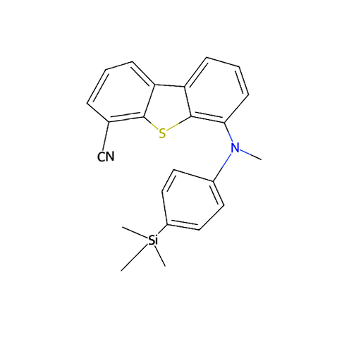 CN(c1ccc([Si](C)(C)C)cc1)c1cccc2c1sc1c(C#N)cccc12